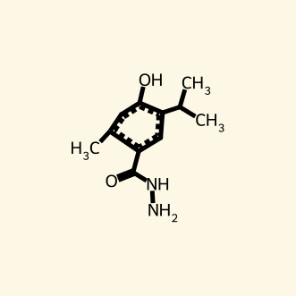 Cc1cc(O)c(C(C)C)cc1C(=O)NN